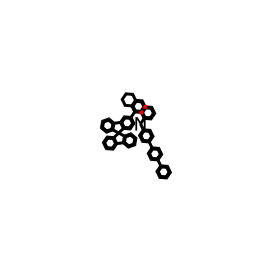 c1ccc(-c2ccc(-c3ccc(N(c4ccccc4)c4cc5c(cc4-c4cccc6c4CCCC6)-c4ccccc4C54c5ccccc5-c5ccccc54)cc3)cc2)cc1